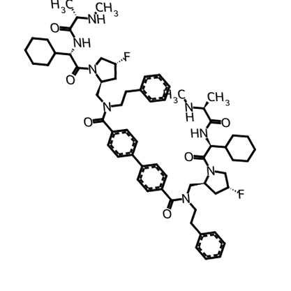 CN[C@@H](C)C(=O)N[C@H](C(=O)N1C[C@H](F)C[C@H]1CN(CCc1ccccc1)C(=O)c1ccc(-c2ccc(C(=O)N(CCc3ccccc3)C[C@@H]3C[C@@H](F)CN3C(=O)[C@@H](NC(=O)[C@H](C)NC)C3CCCCC3)cc2)cc1)C1CCCCC1